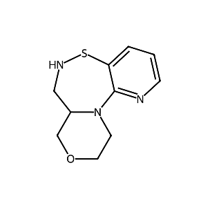 c1cnc2c(c1)SNCC1COCCN21